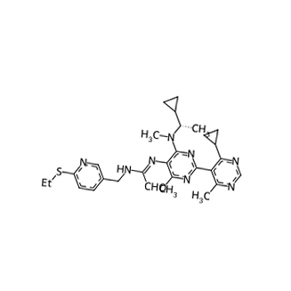 CCSc1ccc(CN/C(C=O)=N/c2c(C)nc(-c3c(C)ncnc3C3CC3)nc2N(C)[C@@H](C)C2CC2)cn1